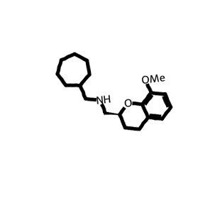 COc1cccc2c1O[C@H](CNCC1CCCCCC1)CC2